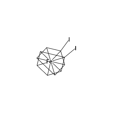 I[C]12[CH]3[CH]4[CH]5[CH]1[Fe]45321678[CH]2[CH]1[CH]6[C]7(I)[CH]28